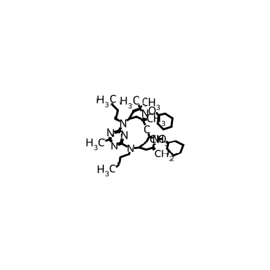 C=C1CC2CC(C)(CC3(C)CC(CC(C)(C)N3OC3CCCCC3)N(CCCC)c3nc(C)nc(n3)N2CCCC)N1OC1CCCCC1